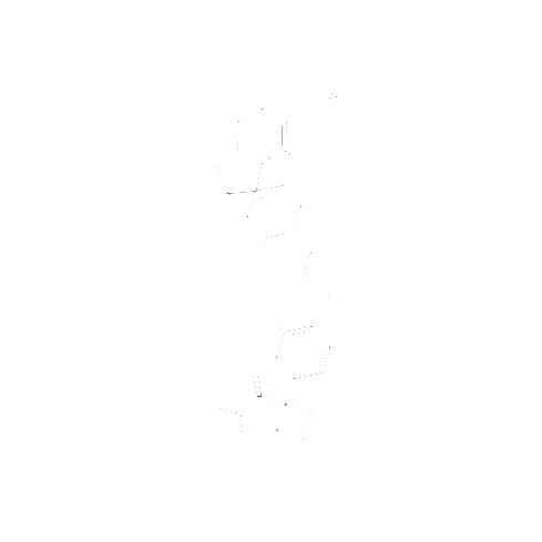 CN(C)C(=O)C1(c2ccc(OCCN3CCC4(CC3)C(=O)Nc3ccc(C#N)cc34)cc2)CCC1